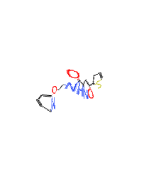 O=C(NCCOc1ccccn1)c1cc(-c2cccs2)on1